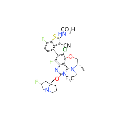 C=C[C@H]1COc2c(Cl)c(-c3ccc(F)c4sc(NC(=O)O)c(C#N)c34)c(F)c3nc(OC[C@@]45CCCN4C[C@H](F)C5)nc(c23)N1CC(F)(F)F